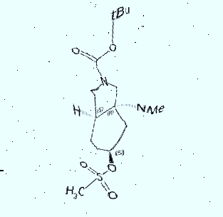 CN[C@]12C[C@@H](OS(C)(=O)=O)C[C@H]1CN(C(=O)OC(C)(C)C)C2